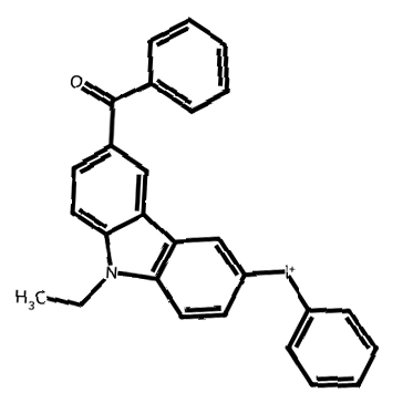 CCn1c2ccc([I+]c3ccccc3)cc2c2cc(C(=O)c3ccccc3)ccc21